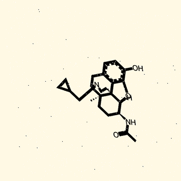 CC(=O)N[C@H]1CC[C@@]2(C)C3Cc4ccc(O)c5c4[C@@]2(CCN3CC2CC2)[C@H]1O5